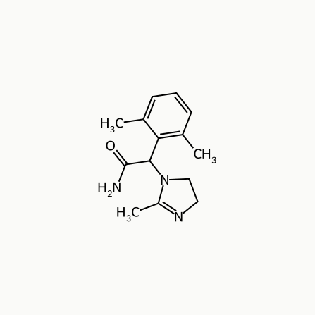 CC1=NCCN1C(C(N)=O)c1c(C)cccc1C